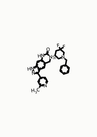 Cc1cc(-c2n[nH]c3cc4c(cc23)CN([C@H]2CN(Cc3ccccc3)CC(F)(F)C2)C(=O)N4)ccn1